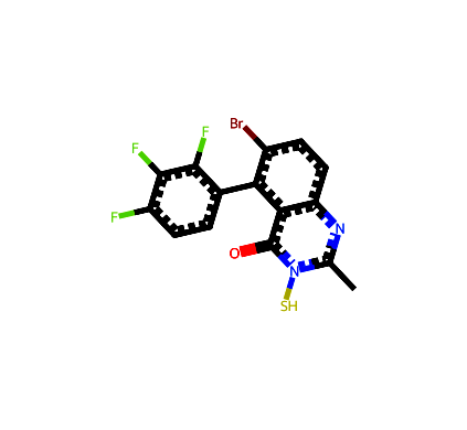 Cc1nc2ccc(Br)c(-c3ccc(F)c(F)c3F)c2c(=O)n1S